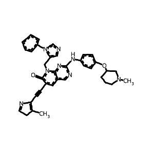 CC1=C(C#Cc2cc3cnc(Nc4ccc(OC5CCCN(C)C5)cc4)nc3n(Cc3cncn3-c3ccccc3)c2=O)N=CC1